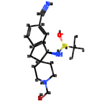 CC(C)(C)[S@@+]([O-])N[C@@H]1c2cc(C#N)ccc2CC12CCN(CBr)CC2